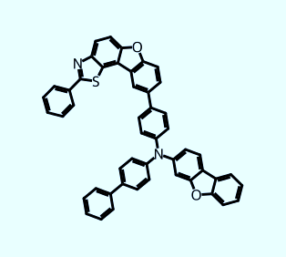 c1ccc(-c2ccc(N(c3ccc(-c4ccc5oc6ccc7nc(-c8ccccc8)sc7c6c5c4)cc3)c3ccc4c(c3)oc3ccccc34)cc2)cc1